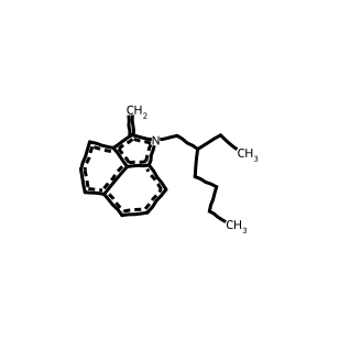 C=c1c2cccc3cccc(c32)n1CC(CC)CCCC